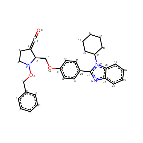 O=C=C1CCN(OCc2ccccc2)[C@@H]1COc1ccc(-c2nc3ccccc3n2C2CCCCC2)cc1